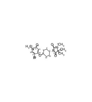 CN1C(=O)N([C@H]2CC[C@H](Oc3cc(=O)n(C)cc3Br)CC2)C(=O)C1(C)C